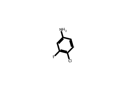 Nc1c[c]c(Cl)c(F)c1